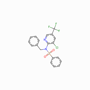 O=S(=O)(c1ccccc1)N(Cc1ccccc1)c1ncc(C(F)(F)F)cc1Cl